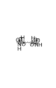 COC(=O)c1c(NC(=O)CCCCCC(=O)Nc2c[nH]c(C)c2C(=O)OC)c[nH]c1C